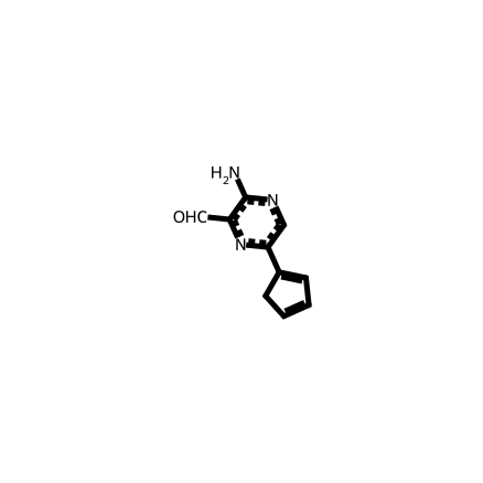 Nc1ncc(C2=CC=CC2)nc1C=O